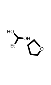 C1CCOC1.CCC(O)O